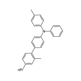 CCCc1ccc(-c2ccc(N(c3ccccc3)c3ccc(C)cc3)cc2)c(C)c1